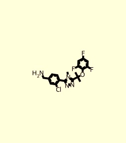 Cn1c(-c2ccc(CN)cc2Cl)nnc1C(C)(C)Oc1c(F)cc(F)cc1F